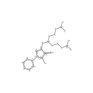 CN(C)CCCN(CCCN(C)C)Cn1nc(-c2ccccc2)n(C)c1=S